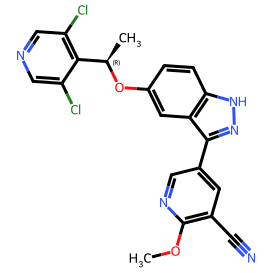 COc1ncc(-c2n[nH]c3ccc(O[C@H](C)c4c(Cl)cncc4Cl)cc23)cc1C#N